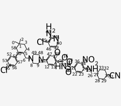 CC1(C)CCC(CN2CCN(c3ccc(C(=O)NS(=O)(=O)c4ccc(NC[C@H]5CC[C@H](C#N)CC5)c([N+](=O)[O-])c4)c(Oc4cnc(N)c(Cl)c4)c3)CC2)=C(c2ccc(Cl)cc2)C1